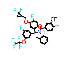 O=C(N[C@@](Cc1ccccc1)(c1cc(F)cc(OC(F)(F)C(F)F)c1)c1ccc(F)c(OCC2CC2(F)F)c1)c1ccc(F)c(C(F)(F)F)c1